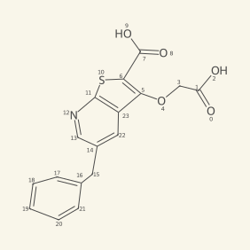 O=C(O)COc1c(C(=O)O)sc2ncc(Cc3ccccc3)cc12